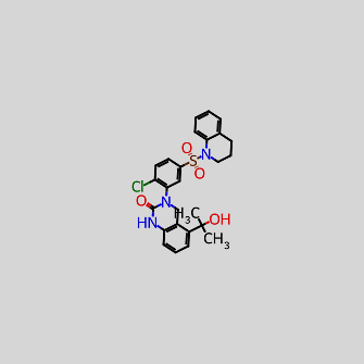 CC(C)(O)c1cccc2c1CN(c1cc(S(=O)(=O)N3CCCc4ccccc43)ccc1Cl)C(=O)N2